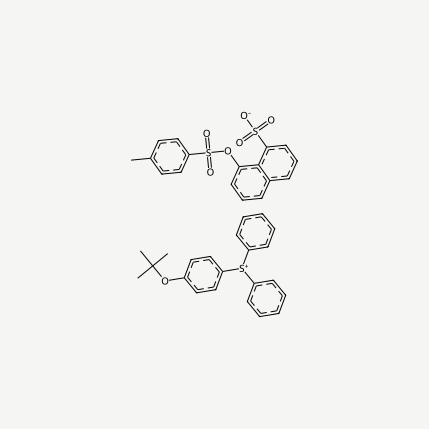 CC(C)(C)Oc1ccc([S+](c2ccccc2)c2ccccc2)cc1.Cc1ccc(S(=O)(=O)Oc2cccc3cccc(S(=O)(=O)[O-])c23)cc1